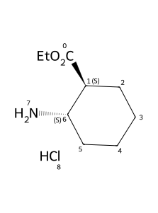 CCOC(=O)[C@H]1CCCC[C@@H]1N.Cl